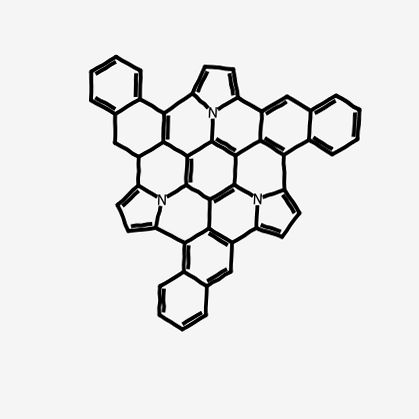 c1ccc2c(c1)CC1c3c-2c2ccc4c5cc6ccccc6c6c5c5c(c3c3c7c8c(cc9ccccc9c8c8ccc1n83)c1ccc6n1c75)n24